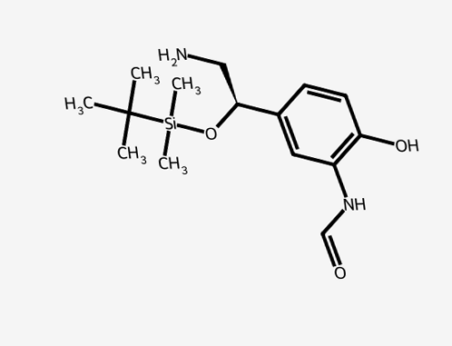 CC(C)(C)[Si](C)(C)O[C@@H](CN)c1ccc(O)c(NC=O)c1